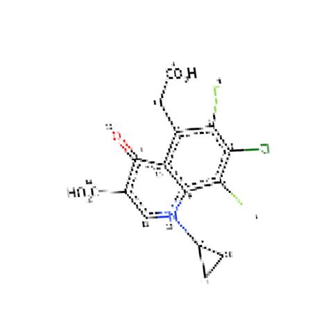 O=C(O)Cc1c(F)c(Cl)c(F)c2c1c(=O)c(C(=O)O)cn2C1CC1